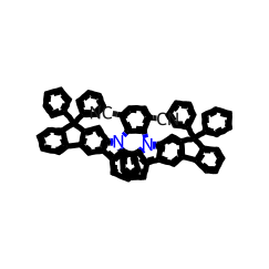 N#Cc1ccc(C#N)c(-n2c3ccccc3c3cc4c(cc32)C(c2ccccc2)(c2ccccc2)c2ccccc2-4)c1-n1c2ccccc2c2cc3c(cc21)C(c1ccccc1)(c1ccccc1)c1ccccc1-3